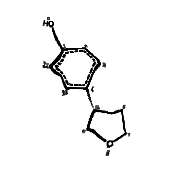 Oc1ccc([C@@H]2CCOC2)cc1